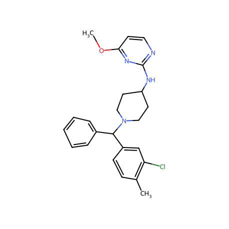 COc1ccnc(NC2CCN(C(c3ccccc3)c3ccc(C)c(Cl)c3)CC2)n1